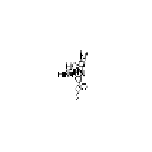 CCCCOC(=O)c1ccc2nn(-c3ccc(N(CC)CC)cc3O)nc2c1.c1c[nH]nn1